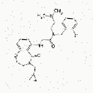 CN(C)CCN(Cc1ccccc1Cl)C(=O)CNc1cccc2c1C(=O)N(CC1CC1)CCO2